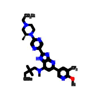 CCOC(=O)CN1CCN(c2cnc(-c3nc4nc(-c5cnc(OCC)c(C(F)(F)F)c5)cc(N(C)CC(C)(C)COC)c4[nH]3)cn2)[C@H](C)C1